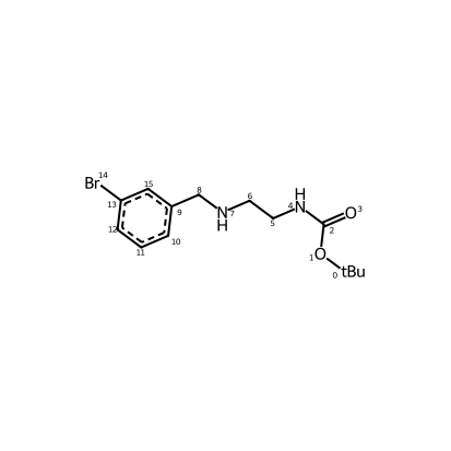 CC(C)(C)OC(=O)NCCNCc1cccc(Br)c1